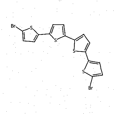 Brc1ccc(-c2ccc(-c3ccc(-c4ccc(Br)s4)s3)s2)s1